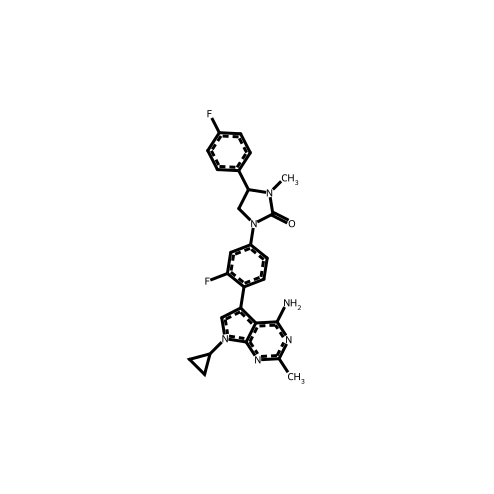 Cc1nc(N)c2c(-c3ccc(N4CC(c5ccc(F)cc5)N(C)C4=O)cc3F)cn(C3CC3)c2n1